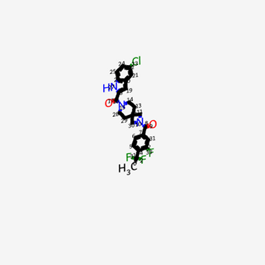 CC(F)(F)c1ccc(C(=O)N2CC3(CCN(C(=O)c4cc5cc(Cl)ccc5[nH]4)CC3)C2)cc1F